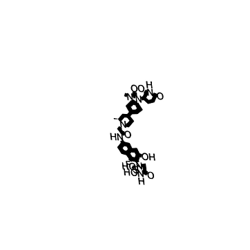 C[C@@H]1CC(c2ccc3c(c2)n(C)c(=O)n3C2CCC(=O)NC2=O)CCN1CC(=O)Nc1ccc2c(F)c(N3CC(=O)NS3(O)O)c(O)cc2c1